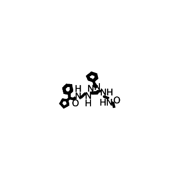 CC(=O)NCCNc1cc(NCCNC(=O)C(c2ccccc2)C2CCCC2)nc(-c2ccccc2)n1